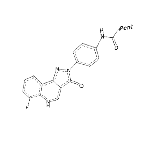 CCCC(C)C(=O)Nc1ccc(-n2nc3c4cccc(F)c4[nH]cc-3c2=O)cc1